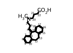 CN(CCC=C1c2ccccc2CCc2ccccc21)CCCC(=O)O